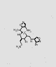 CCC(/C(=C\SN)NCC(C)c1oncc1N)C(C)CNc1conc1C(C)C